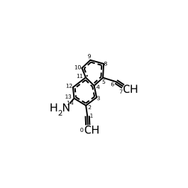 C#Cc1cc2c(C#C)cccc2cc1N